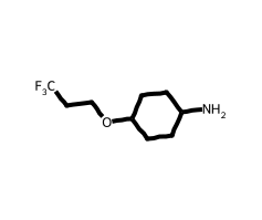 NC1CCC(OCCC(F)(F)F)CC1